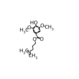 COc1cc(C(=O)OCCCN(C)C)cc(OC)c1O